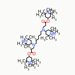 CN1C(C)(C)CC(OC(=O)CCN(CCCCCCN(CCC(=O)OC2CC(C)(C)N(C)C(C)(C)C2)C2CC(C)(C)NC(C)(C)C2)C2CC(C)(C)NC(C)(C)C2)CC1(C)C